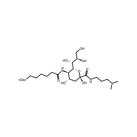 CCCCCCCCCCCCCCCC(=O)N[C@H]1[C@H]([C@H](O)[C@H](O)CO)O[C@](O)(C(=O)NCCCN(C)C)C[C@@H]1O